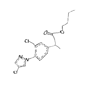 CCCCOC(=O)C(C)c1ccc(-n2cc(Cl)cn2)c(Cl)c1